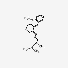 COc1ccccc1C=C1CCCCC1=NOCC(C)CN(C)C